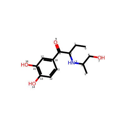 CCC(NC(C)CO)C(=O)c1ccc(O)c(O)c1